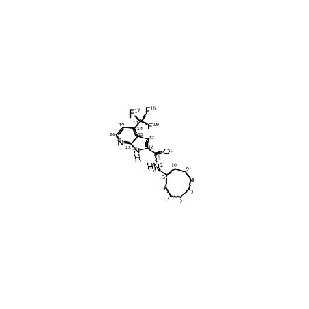 O=C(NC1CCCCCCC1)c1cc2c(C(F)(F)F)ccnc2[nH]1